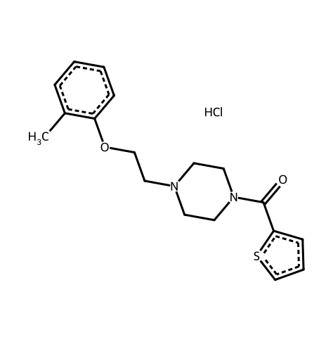 Cc1ccccc1OCCN1CCN(C(=O)c2cccs2)CC1.Cl